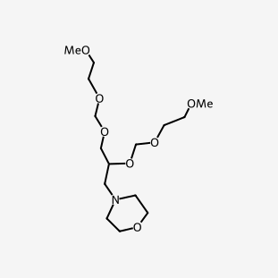 COCCOCOCC(CN1CCOCC1)OCOCCOC